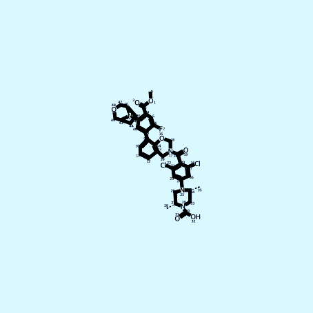 COC(=O)c1cc(F)c(-c2cccc3c2OCN(C(=O)c2c(Cl)cc(N4C[C@@H](C)N(C(=O)O)C[C@H]4C)cc2Cl)C3)cc1N1C2CCC1COC2